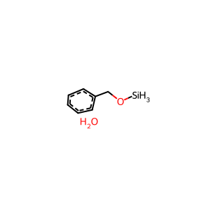 O.[SiH3]OCc1ccccc1